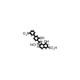 Cl.O=[N+]([O-])c1cccc(-c2ccc(-c3nc4c(ccc5cc(S(=O)(=O)O)cc(O)c54)[nH]3)c(O)c2)c1